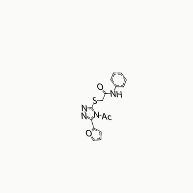 CC(=O)n1c(SCC(=O)Nc2ccccc2)nnc1-c1ccco1